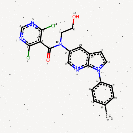 O=C(c1c(Cl)ncnc1Cl)N(CCO)c1cnc2c(ccn2-c2ccc(C(F)(F)F)cc2)c1